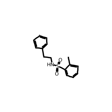 Cc1ccccc1S(=O)(=O)NCCc1cc[c]cc1